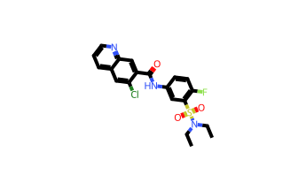 CCN(CC)S(=O)(=O)c1cc(NC(=O)c2cc3ncccc3cc2Cl)ccc1F